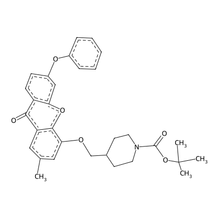 Cc1cc(OCC2CCN(C(=O)OC(C)(C)C)CC2)c2oc3cc(Oc4ccccc4)ccc3c(=O)c2c1